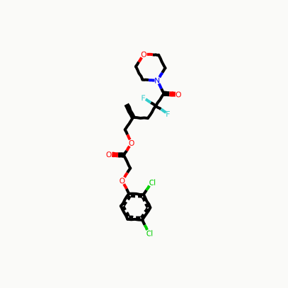 C=C(COC(=O)COc1ccc(Cl)cc1Cl)CC(F)(F)C(=O)N1CCOCC1